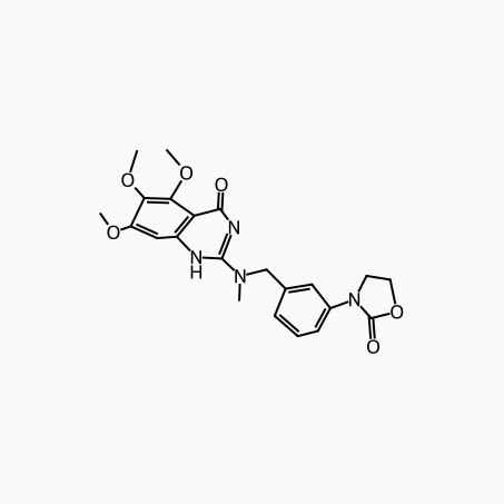 COc1cc2[nH]c(N(C)Cc3cccc(N4CCOC4=O)c3)nc(=O)c2c(OC)c1OC